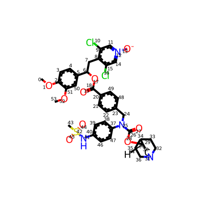 COc1ccc(C(Cc2c(Cl)c[n+]([O-])cc2Cl)OC(=O)c2ccc(CN(C(=O)O[C@H]3CN4CCC3CC4)c3ccc(NS(C)(=O)=O)cc3)cc2)cc1OC